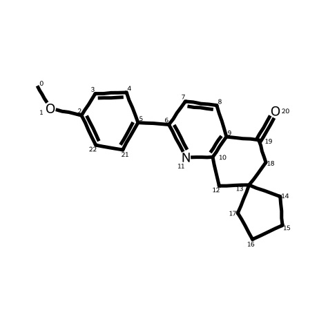 COc1ccc(-c2ccc3c(n2)CC2(CCCC2)CC3=O)cc1